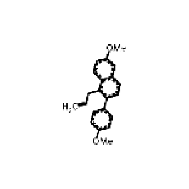 C=CCc1c(-c2ccc(OC)cc2)ccc2cc(OC)ccc12